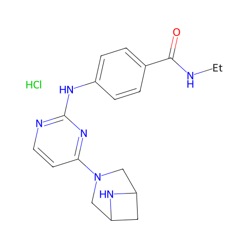 CCNC(=O)c1ccc(Nc2nccc(N3CC4CC(C3)N4)n2)cc1.Cl